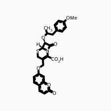 COc1ccc(CC(C)O[C@H]2C(=O)N3C(C(=O)O)=C(COc4ccc5ccc(=O)oc5c4)CS[C@H]23)cc1